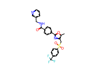 Cc1oc(-c2ccc(C(=O)NCc3cccnc3)cc2)nc1CS(=O)(=O)c1ccc(C(F)(F)F)cc1